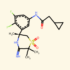 CC1(C)C(=N)N[C@](C)(c2cc(NC(=O)CC3CC3)cc(F)c2F)CS1(=O)=O